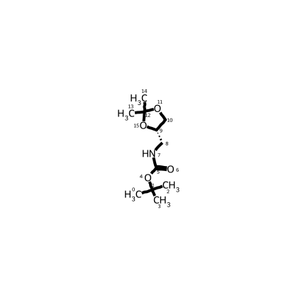 CC(C)(C)OC(=O)NC[C@H]1COC(C)(C)O1